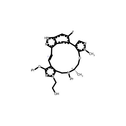 CC(C)Oc1nn(CCO)c2c1/C=C/c1n[nH]c3cc(F)c(cc13)-c1cnn(C)c1OC[C@H](C)N(C(C)C)C2